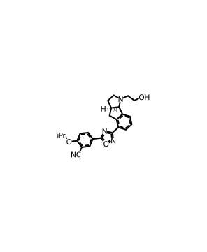 CC(C)Oc1ccc(-c2nc(-c3cccc4c3C[C@H]3CCN(CCO)C43)no2)cc1C#N